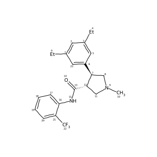 CCc1cc(CC)cc([C@H]2CN(C)C[C@@H]2C(=O)Nc2ccccc2C(F)(F)F)c1